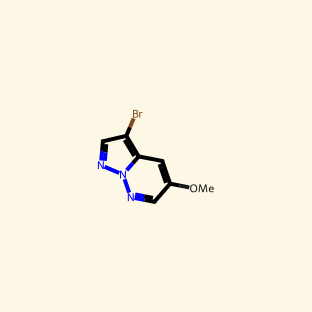 COc1cnn2ncc(Br)c2c1